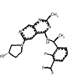 CO[C@H]1CCN(c2cc3c(NC(C)c4cccc(C(F)F)c4F)nc(C)nc3cn2)C1